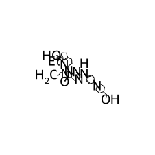 C=CCn1c(=O)c2cnc(Nc3ccc(N4CCC(CO)CC4)cc3)nc2n1-c1ccc2c(n1)[C@@](O)(CC)CC2